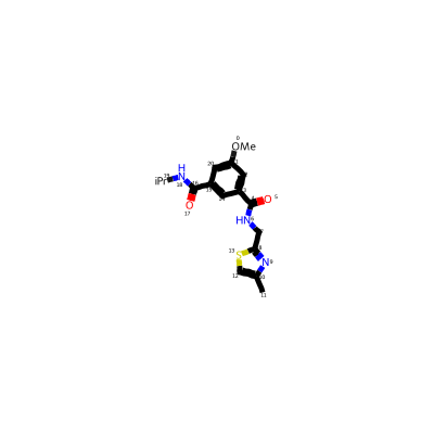 COc1cc(C(=O)NCc2nc(C)cs2)cc(C(=O)NC(C)C)c1